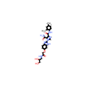 Cc1ccc(NC(=O)c2ncn(-c3nc4ccc(OCC(=O)NCC(O)CO)cc4[nH]3)c2C(N)=O)c(C)c1